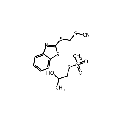 CC(O)CSS(C)(=O)=O.N#CSCSc1nc2ccccc2s1